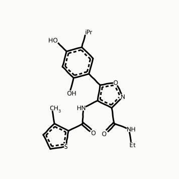 CCNC(=O)c1noc(-c2cc(C(C)C)c(O)cc2O)c1NC(=O)c1sccc1C